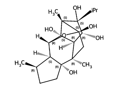 CC(C)[C@@]1(O)[C@H](O)[C@@H]2[C@@]3(O)[C@@H]4O[C@@](O)(C[C@@]2(C)[C@@]2(O)CC[C@@H](C)[C@@H]42)[C@]31C